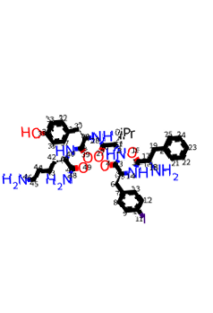 CC(C)[C@H](NC(=O)[C@H](Cc1ccc(I)cc1)NC(=O)[C@@H](N)Cc1ccccc1)C(=O)N[C@@H](Cc1ccc(O)cc1)C(=O)N[C@@H](CCCCN)C(N)=O